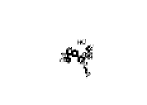 CN(C)CCCOc1ncc(-c2ccc3ncc4c(c3c2)C2(CCC2)C(=O)N4C)cc1NS(=O)(=O)c1ccns1.Cl